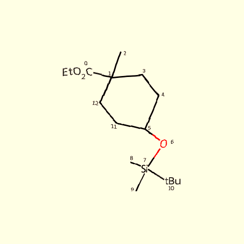 CCOC(=O)C1(C)CCC(O[Si](C)(C)C(C)(C)C)CC1